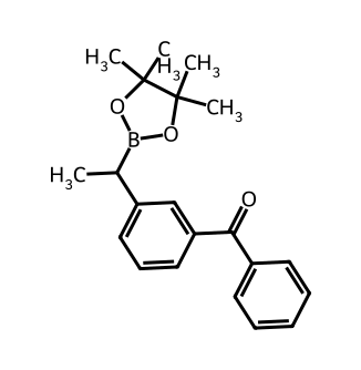 CC(B1OC(C)(C)C(C)(C)O1)c1cccc(C(=O)c2ccccc2)c1